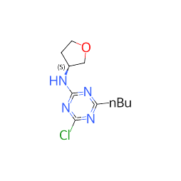 CCCCc1nc(Cl)nc(N[C@H]2CCOC2)n1